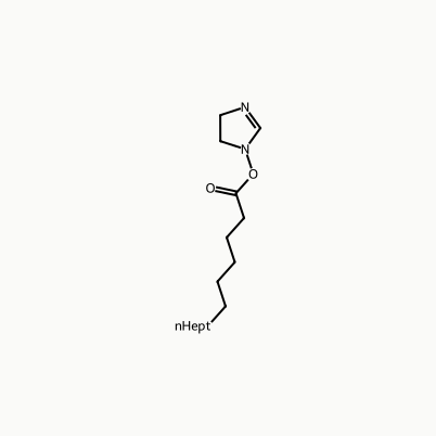 CCCCCCCCCCCCC(=O)ON1C=NCC1